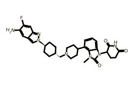 Cn1c(=O)n(C2CCC(=O)NC2=O)c2cccc(C3CCN(C[C@H]4CC[C@H](n5cc6cc(N)c(F)cc6n5)CC4)CC3)c21